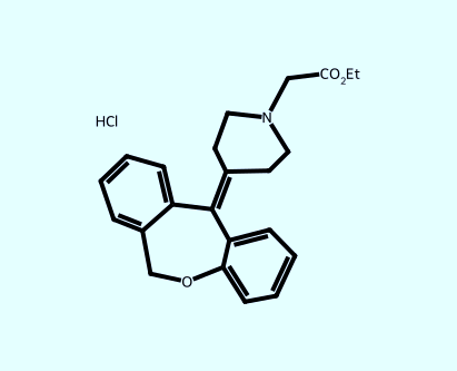 CCOC(=O)CN1CCC(=C2c3ccccc3COc3ccccc32)CC1.Cl